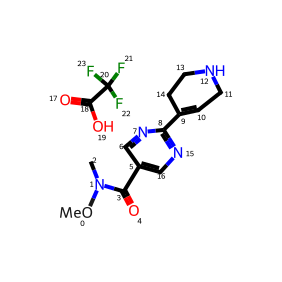 CON(C)C(=O)c1cnc(C2=CCNCC2)nc1.O=C(O)C(F)(F)F